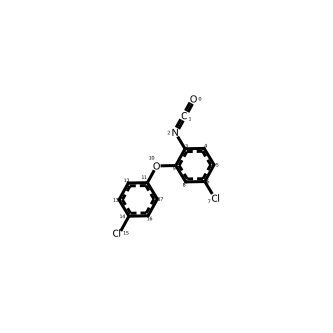 O=C=Nc1ccc(Cl)cc1Oc1ccc(Cl)cc1